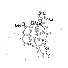 COc1cc2ccncc2cc1OC.Clc1nsnc1C1CCc2c(ccc3c2ccc2ccccc23)C1